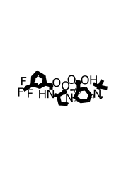 CN([C@@H]1CC[C@H](N2CCC(NC(=O)c3cccc(C(F)(F)F)c3)C2=O)[C@](C)(C(=O)O)C1)C(C)(C)C